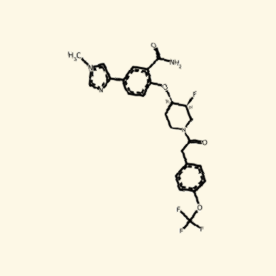 Cn1cnc(-c2ccc(O[C@@H]3CCN(C(=O)Cc4ccc(OC(F)(F)F)cc4)C[C@@H]3F)c(C(N)=O)c2)c1